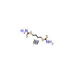 NC(=S)SCCCCSC(N)=S.[Na].[Na]